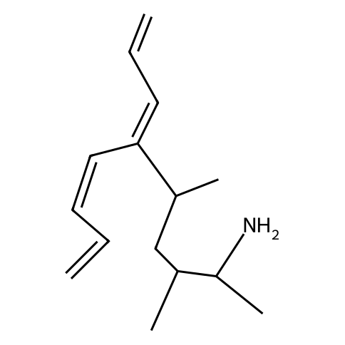 C=C/C=C\C(=C/C=C)C(C)CC(C)C(C)N